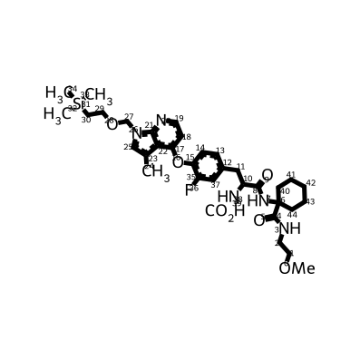 COCCNC(=O)C1(NC(=O)C(Cc2ccc(Oc3ccnc4c3c(C)cn4COCC[Si](C)(C)C)c(F)c2)NC(=O)O)CCCCC1